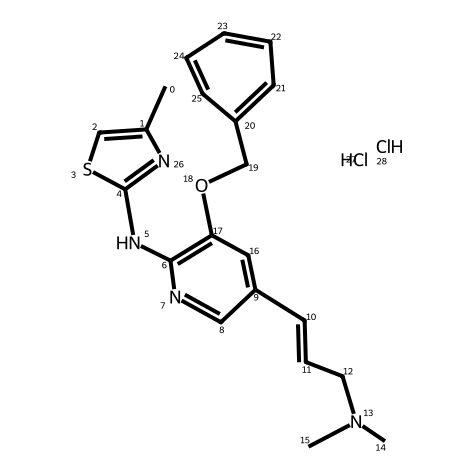 Cc1csc(Nc2ncc(C=CCN(C)C)cc2OCc2ccccc2)n1.Cl.Cl